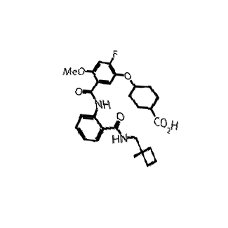 COc1cc(F)c(OC2CCC(C(=O)O)CC2)cc1C(=O)Nc1ccccc1C(=O)NCC1(C)CCC1